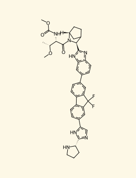 COC(=O)N[C@H](C(=O)N1[C@@H]2CCC(C2)[C@H]1c1nc2ccc(-c3ccc4c(c3)C(F)(F)c3cc(-c5cnc([C@@H]6CCCN6)[nH]5)ccc3-4)cc2[nH]1)[C@@H](C)OC